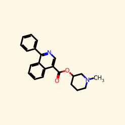 CN1CCCC(OC(=O)c2cnc(-c3ccccc3)c3ccccc23)C1